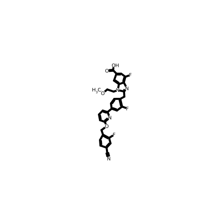 COCCn1c(Cc2ccc(-c3cccc(OCc4ccc(C#N)cc4F)n3)cc2F)nc2c(F)cc(C(=O)O)cc21